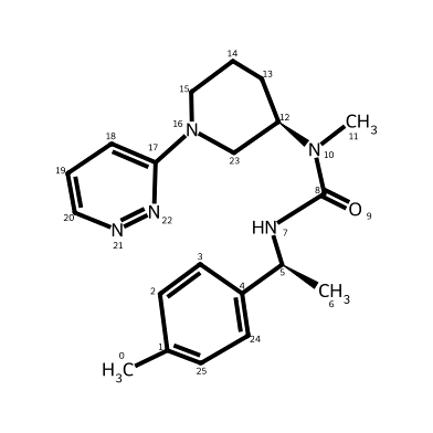 Cc1ccc([C@H](C)NC(=O)N(C)[C@@H]2CCCN(c3cccnn3)C2)cc1